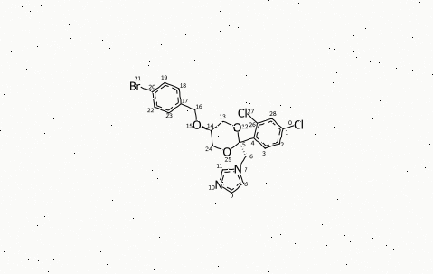 Clc1ccc([C@]2(Cn3ccnc3)OC[C@H](OCc3ccc(Br)cc3)CO2)c(Cl)c1